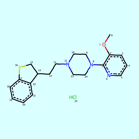 COc1cccnc1N1CCN(CCC2CSc3ccccc32)CC1.Cl